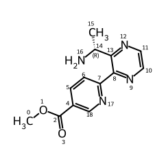 COC(=O)c1ccc(-c2nccnc2[C@@H](C)N)nc1